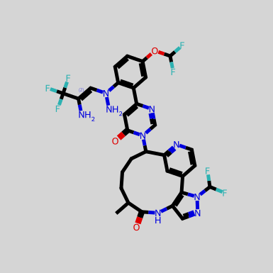 CC1CCCC(n2cnc(-c3cc(OC(F)F)ccc3N(N)/C=C(\N)C(F)(F)F)cc2=O)c2cc(ccn2)-c2c(cnn2C(F)F)NC1=O